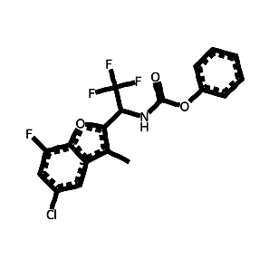 Cc1c(C(NC(=O)Oc2ccccc2)C(F)(F)F)oc2c(F)cc(Cl)cc12